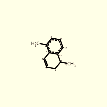 C[C]1CC=Cc2c(C)cccc21